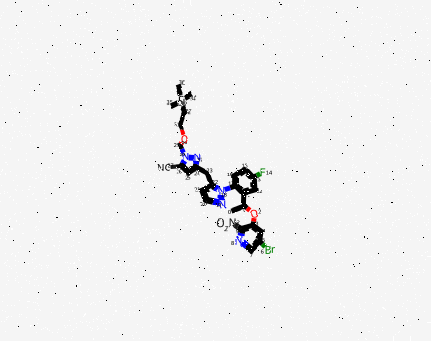 CC(Oc1cc(Br)cnc1[N+](=O)[O-])c1cc(F)ccc1-n1nccc1Cc1cc(C#N)n(COCC[Si](C)(C)C)n1